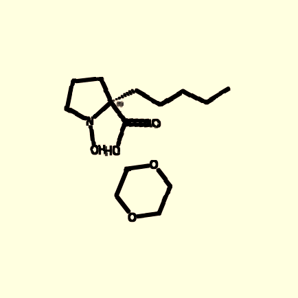 C1COCCO1.CCCCC[C@@]1(C(=O)O)CCCN1O